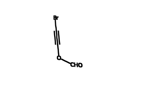 O=COC#CBr